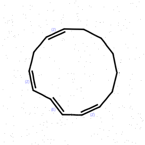 [CH]1C\C=C/C=C/C=C\C/C=C\CCC1